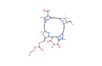 CCCOC(=O)CC[C@@H]1c2nc(cc3[nH]c(cc4nc(cc5[nH]c6c2C(=O)N(C)C(=O)c6c5C)[C@H](CC)[C@H]4C)c(C(C)=O)c3C)[C@H]1C